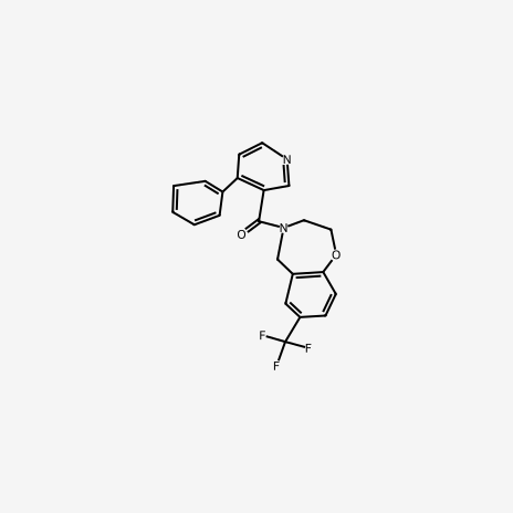 O=C(c1cnccc1-c1ccccc1)N1CCOc2ccc(C(F)(F)F)cc2C1